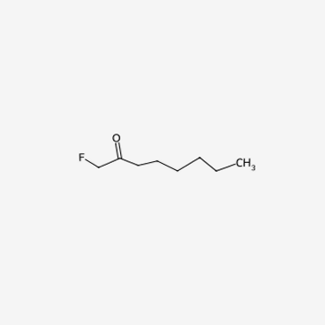 CCCCCCC(=O)CF